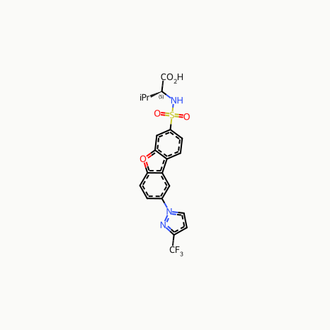 CC(C)[C@H](NS(=O)(=O)c1ccc2c(c1)oc1ccc(-n3ccc(C(F)(F)F)n3)cc12)C(=O)O